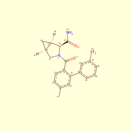 Cc1ccc(C(=O)N2C[C@H]3C[C@H]3[C@H]2C(N)=O)c(-c2cccc(C(F)(F)F)c2)c1